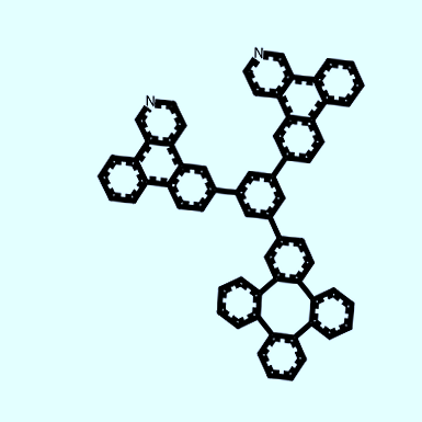 c1ccc2c(c1)-c1ccccc1-c1ccc(-c3cc(-c4ccc5c6ccccc6c6cnccc6c5c4)cc(-c4ccc5c6ccccc6c6cnccc6c5c4)c3)cc1-c1ccccc1-2